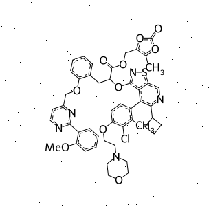 COc1ccccc1-c1nccc(COc2ccccc2CC(Oc2nsc3cnc(C4CCC4)c(-c4ccc(OCCN5CCOCC5)c(Cl)c4C)c23)C(=O)OCc2oc(=O)oc2C)n1